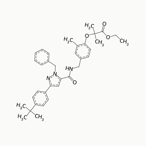 CCOC(=O)C(C)(C)Oc1ccc(CNC(=O)c2cc(-c3ccc(C(C)(C)C)cc3)nn2Cc2ccccc2)cc1C